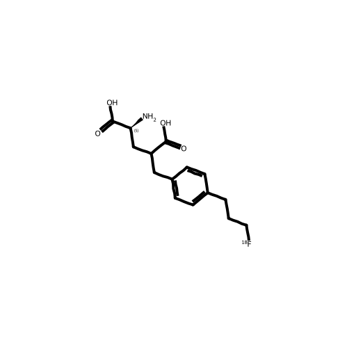 N[C@@H](CC(Cc1ccc(CCC[18F])cc1)C(=O)O)C(=O)O